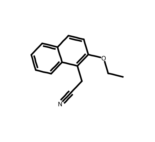 CCOc1ccc2ccccc2c1CC#N